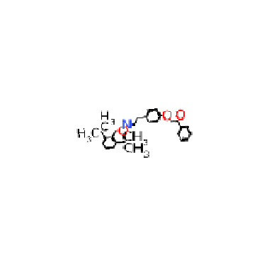 CC(C)c1cccc(C(C)C)c1CON=CCc1ccc(OCC(=O)c2ccccc2)cc1